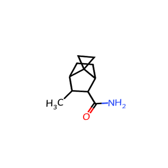 CC1C(C(N)=O)C2CCC1C21CC1